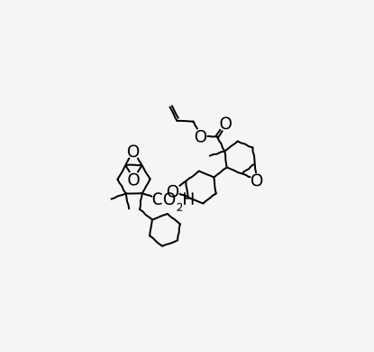 C=CCOC(=O)C1(C)CCC2OC2C1C1CCC2OC2C1.CC1(C)CC23OC2(CC1(CC1CCCCC1)C(=O)O)O3